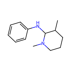 CC1CCCN(C)C1Nc1ccccc1